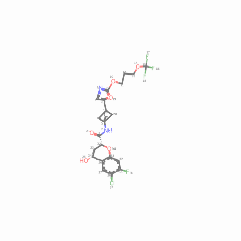 O=C(NC12CC(c3cnc(OCCCOC(F)(F)F)o3)(C1)C2)[C@H]1C[C@@H](O)c2cc(Cl)c(F)cc2O1